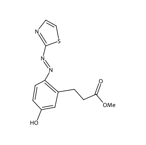 COC(=O)CCc1cc(O)ccc1/N=N/c1nccs1